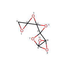 C1OC12OC21OC12OC13OC12O3